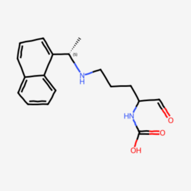 C[C@H](NCCCC(C=O)NC(=O)O)c1cccc2ccccc12